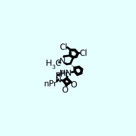 CCCN(CCC)c1c(Nc2ccccc2[C@@H]2CN(C)Cc3c(Cl)cc(Cl)cc32)c(=O)c1=O